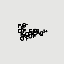 O=P([O-])(F)F.O=P([O-])(F)F.O=P([O-])(F)F.[Ag+3]